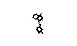 Nc1ccc(OCc2cccc(F)c2)c2c1CCCO2